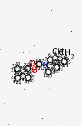 C=CC1=C(C)c2ccc(N(c3ccccc3)c3ccc4c(c3)Oc3cc5c(cc3O4)-c3ccccc3C53c4ccccc4-c4ccccc43)cc2C1(c1ccccc1)c1ccccc1